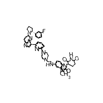 Cn1c(=O)n(C2CCC(=O)NC2=O)c2ccc(NCCN3CCN(c4cccc(-c5cnc6ccc(N7CCC[C@@H]7c7cccc(F)c7)nn56)n4)CC3)cc21